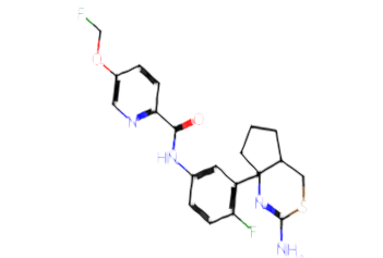 NC1=NC2(c3cc(NC(=O)c4ccc(OCF)cn4)ccc3F)CCCC2CS1